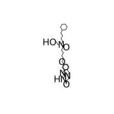 O=C1CN2Cc3ccc(OCCCCC(=O)N(CCO)CCCCC4CCCCC4)cc3N=C2N1